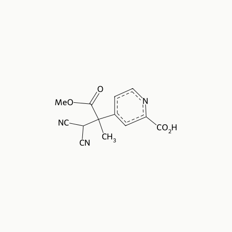 COC(=O)C(C)(c1ccnc(C(=O)O)c1)C(C#N)C#N